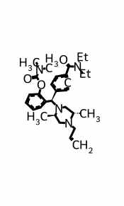 C=CCN1C[C@@H](C)N([C@H](c2ccc(C(=O)N(CC)CC)cc2)c2ccccc2OC(=O)N(C)C)C[C@@H]1C